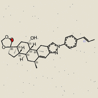 C/C=C/c1ccc(-n2cc3c(n2)C=C2[C@@H](C)C[C@@H]4[C@H]([C@@H](O)C[C@@]5(C)[C@H]4CC[C@@]54OCOC45COCO5)[C@@]2(C)C3)cc1